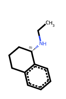 CCN[C@H]1CCCc2ccccc21